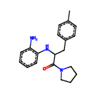 Cc1ccc(CC(Nc2ccccc2N)C(=O)N2CCCC2)cc1